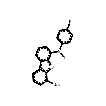 CCc1ccc(N(I)c2cccc3c2oc2c(C(C)(C)C)cccc23)cc1